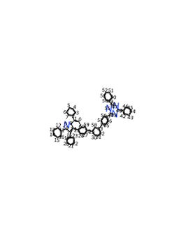 C1=C(c2ccccc2)C2N=C(c3ccccc3)C(c3ccccc3)=C2c2ccc(-c3cccc(-c4ccc(-c5nc(-c6ccccc6)nc(-c6ccccc6)n5)cc4)c3)cc21